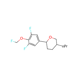 CCCC1CCC(c2cc(F)c(OCF)c(F)c2)OC1